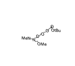 CNCCN(CCOC)CCOCCOCCOCCC(=O)OC(C)(C)C